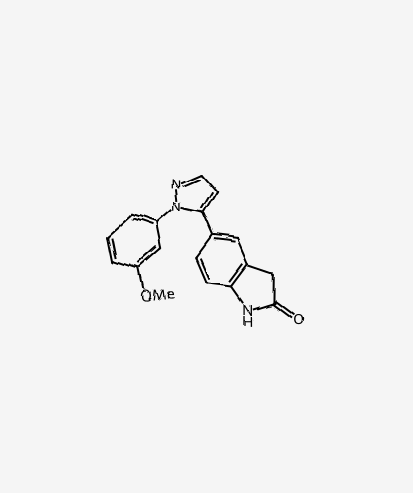 COc1cccc(-n2nccc2-c2ccc3c(c2)CC(=O)N3)c1